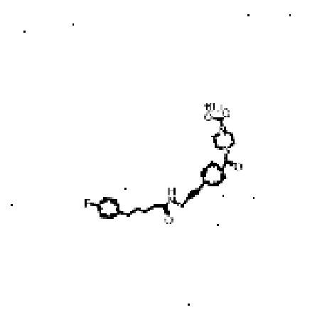 CC(C)(C)OC(=O)N1CCN(C(=O)c2ccc(C#CCNC(=O)CCCCc3ccc(F)cc3)cc2)CC1